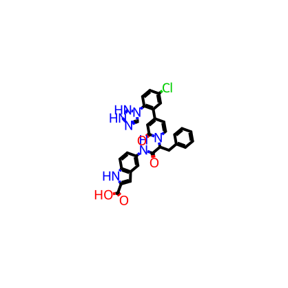 O=C(O)c1cc2cc(NC(=O)C(Cc3ccccc3)n3ccc(-c4cc(Cl)ccc4N4C=NNN4)cc3=O)ccc2[nH]1